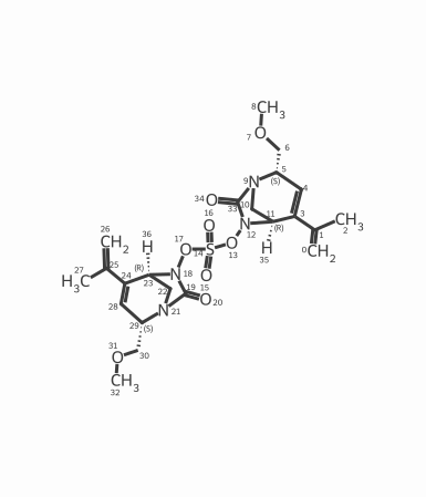 C=C(C)C1=C[C@@H](COC)N2C[C@@H]1N(OS(=O)(=O)ON1C(=O)N3C[C@H]1C(C(=C)C)=C[C@H]3COC)C2=O